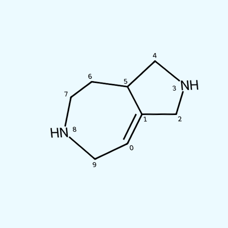 C1=C2CNCC2CCNC1